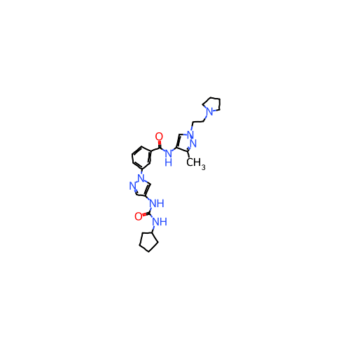 Cc1nn(CCN2CCCC2)cc1NC(=O)c1cccc(-n2cc(NC(=O)NC3CCCC3)cn2)c1